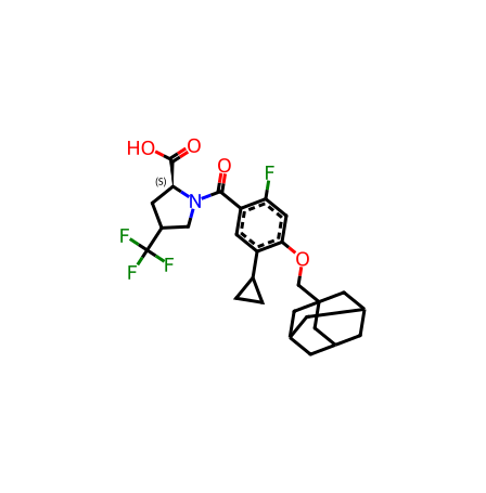 O=C(O)[C@@H]1CC(C(F)(F)F)CN1C(=O)c1cc(C2CC2)c(OCC23CC4CC(CC(C4)C2)C3)cc1F